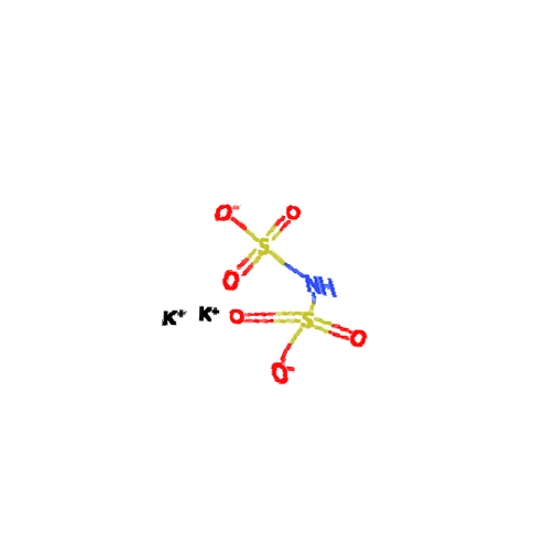 O=S(=O)([O-])NS(=O)(=O)[O-].[K+].[K+]